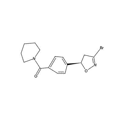 O=C(c1ccc([C@H]2CC(Br)=NO2)cc1)N1CCCCC1